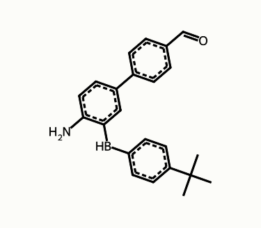 CC(C)(C)c1ccc(Bc2cc(-c3ccc(C=O)cc3)ccc2N)cc1